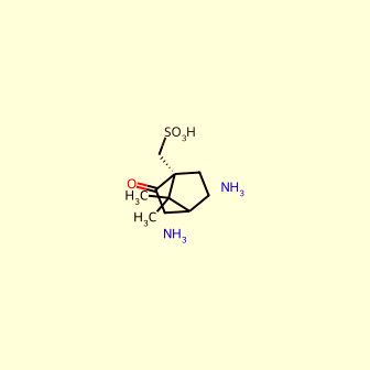 CC1(C)C2CC[C@]1(CS(=O)(=O)O)C(=O)C2.N.N